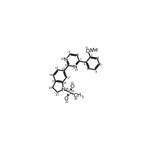 COc1ccccc1-c1c[c]nc(-c2ccc3c(c2)N(S(C)(=O)=O)CC3)n1